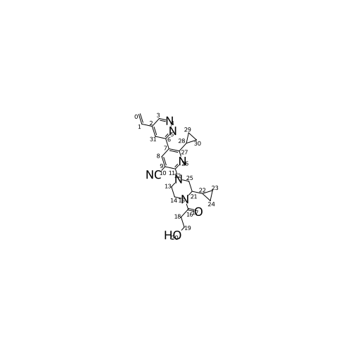 C=Cc1cnnc(-c2cc(C#N)c(N3CCN(C(=O)CCO)C(C4CC4)C3)nc2C2CC2)c1